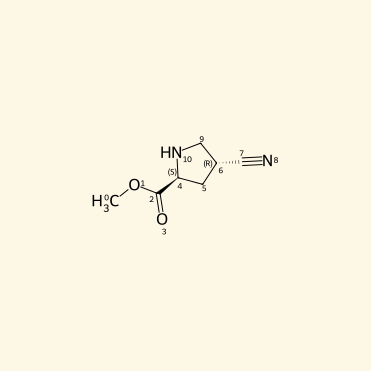 COC(=O)[C@@H]1C[C@@H](C#N)CN1